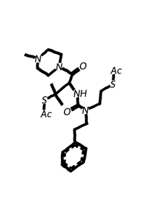 CC(=O)SCCN(CCc1ccccc1)C(=O)NC(C(=O)N1CCN(C)CC1)C(C)(C)SC(C)=O